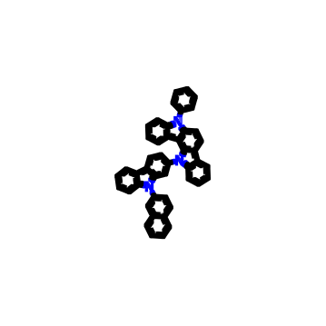 c1ccc(-n2c3ccccc3c3c2ccc2c4ccccc4n(-c4ccc5c6ccccc6n(-c6ccc7ccccc7c6)c5c4)c23)cc1